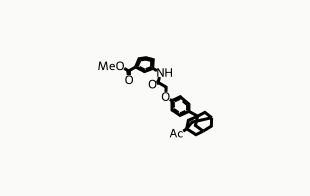 COC(=O)c1cccc(NC(=O)COc2ccc(C34CC5CC(CC(C(C)=O)(C5)C3)C4)cc2)c1